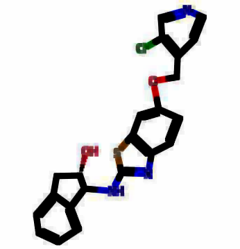 O[C@H]1Cc2ccccc2C1Nc1nc2ccc(OCc3ccncc3Cl)cc2s1